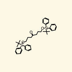 CC(C)(C)[Si](OCCCC(=O)CCCO[Si](c1ccccc1)(c1ccccc1)C(C)(C)C)(c1ccccc1)c1ccccc1